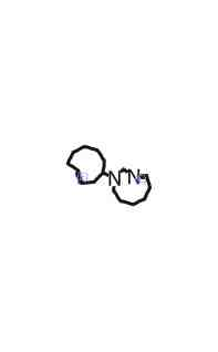 C1=C/CC(N2CCCCC/C=N/C2)CCCCC/1